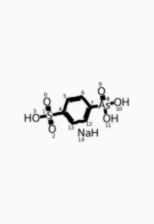 O=S(=O)(O)c1ccc([As](=O)(O)O)cc1.[NaH]